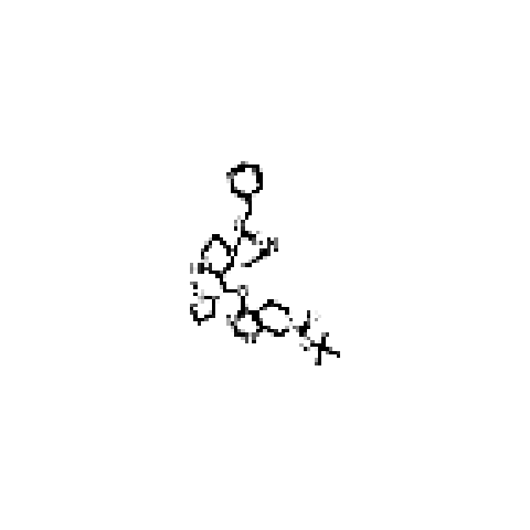 CN1CCC[C@H]1C(Oc1ncnc2c1CCN(C(=O)OC(C)(C)C)C2)C1NCCN(C(=O)OCc2ccccc2)[C@H]1CC#N